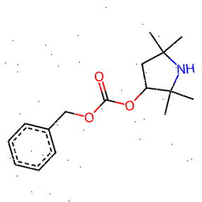 CC1(C)CC(OC(=O)OCc2ccccc2)C(C)(C)N1